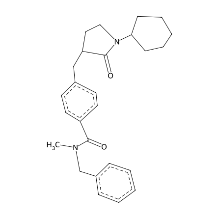 CN(Cc1ccccc1)C(=O)c1ccc(CC2CCN(C3CCCCC3)C2=O)cc1